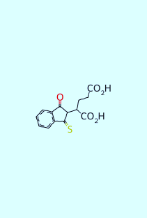 O=C(O)CCC(C(=O)O)C1C(=O)c2ccccc2C1=S